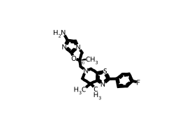 CC1(C)CN(C[C@@]2(C)Cn3cc(N)nc3O2)Cc2sc(-c3ccc(F)cc3)nc21